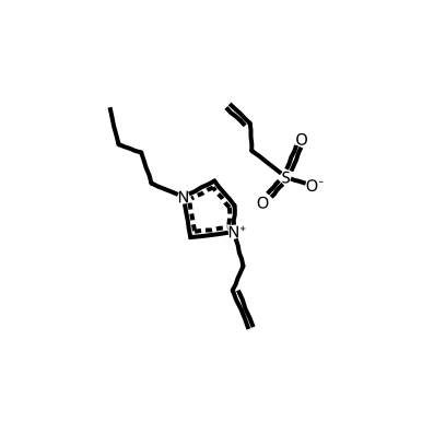 C=CCS(=O)(=O)[O-].C=CC[n+]1ccn(CCCC)c1